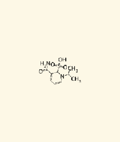 CC(C)N1C=CC=C(C(N)=O)C1S(=O)(=O)O